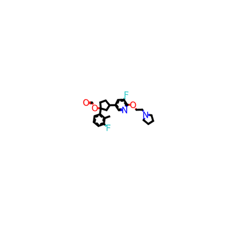 Cc1c(F)cccc1C1(OC=O)CCC(c2cnc(OCCN3CCCC3)c(F)c2)C1